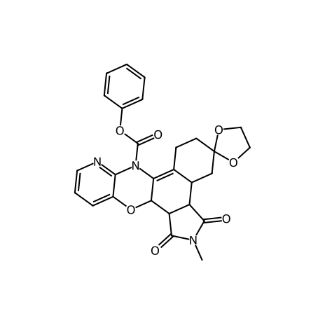 CN1C(=O)C2C3CC4(CCC3=C3C(Oc5cccnc5N3C(=O)Oc3ccccc3)C2C1=O)OCCO4